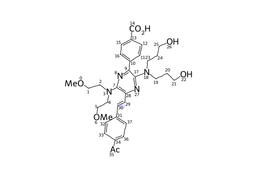 COCCN(CCOC)c1nc(-c2ccc(C(=O)O)cc2)c(N(CCCO)CCCO)nc1/C=C/c1ccc(C(C)=O)cc1